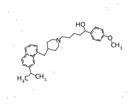 COc1ccc(C(O)CCCCN2CCC(Cc3cccc4ccc(C(C)C)cc34)CC2)cc1